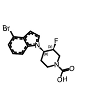 O=C(O)N1CC[C@@H](n2ccc3c(Br)cccc32)[C@@H](F)C1